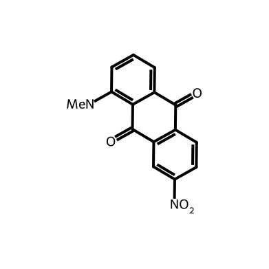 CNc1cccc2c1C(=O)c1cc([N+](=O)[O-])ccc1C2=O